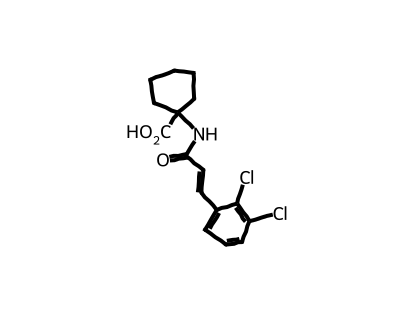 O=C(/C=C/c1cccc(Cl)c1Cl)NC1(C(=O)O)CCCCC1